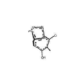 Cc1c(O)cc2[nH]nnc2c1Cl